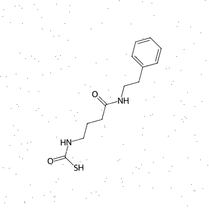 O=C(S)NCCCC(=O)NCCc1ccccc1